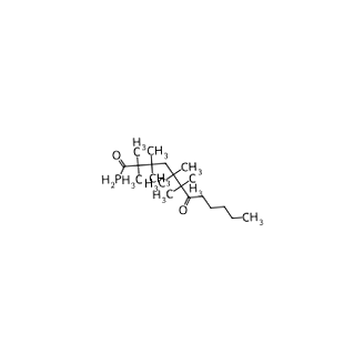 CCCCCC(=O)C(C)(C)C(C)(C)CC(C)(C)C(C)(C)C(=O)P